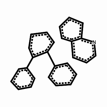 c1ccc(-c2ccccc2-c2ccccc2)cc1.c1ccc2ncccc2c1